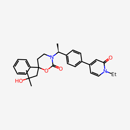 CCn1ccc(-c2ccc([C@H](C)N3CCC(CC(C)(C)O)(c4ccccc4)OC3=O)cc2)cc1=O